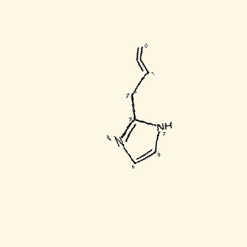 C=C[CH]c1ncc[nH]1